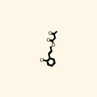 CC(=O)CC(=O)OCC=Cc1ccccc1Cl